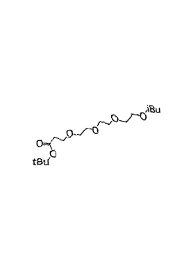 CCC(C)OCCOCCOCCOCCC(=O)OC(C)(C)C